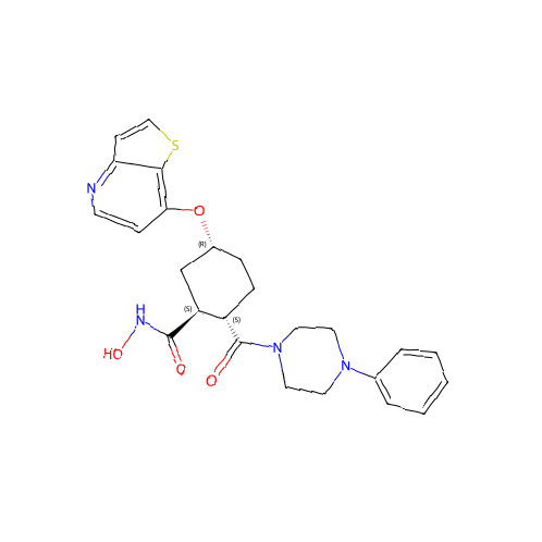 O=C(NO)[C@H]1C[C@H](Oc2ccnc3ccsc23)CC[C@@H]1C(=O)N1CCN(c2ccccc2)CC1